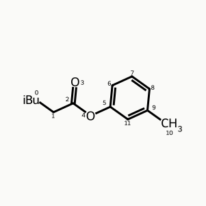 CCC(C)CC(=O)Oc1cccc(C)c1